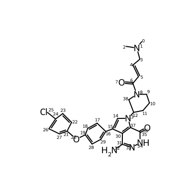 CN(C)CC=CC(=O)N1CCCC(n2cc(-c3ccc(Oc4ccc(Cl)cc4)cc3)c3c(N)n[nH]c(=O)c32)C1